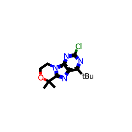 CC(C)(C)c1nc(Cl)nc2c1nc1n2CCOC1(C)C